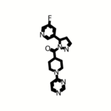 O=C(C1CCN(c2ccncn2)CC1)N1N=CCC1c1cncc(F)c1